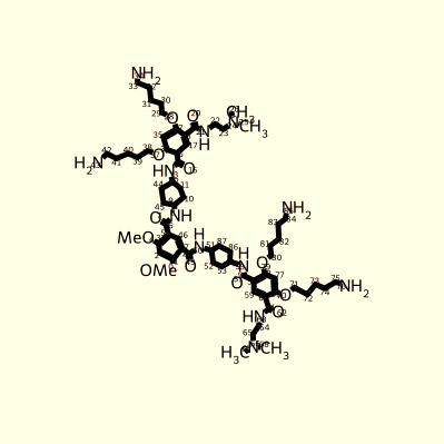 COc1cc(OC)c(C(=O)NC2CCC(NC(=O)C3C=C(C(=O)NCCN(C)C)C(OCCCCCN)=CC3OCCCCCN)CC2)cc1C(=O)NC1CCC(NC(=O)c2cc(C(=O)NCCN(C)C)c(OCCCCCN)cc2OCCCCCN)CC1